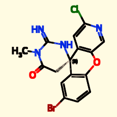 CN1C(=N)N[C@]2(CC1=O)c1cc(Br)ccc1Oc1cnc(Cl)cc12